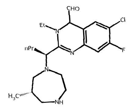 CCC[C@@H](C1=Nc2cc(F)c(Cl)cc2C(C=O)N1CC)N1CCNC[C@H](C)C1